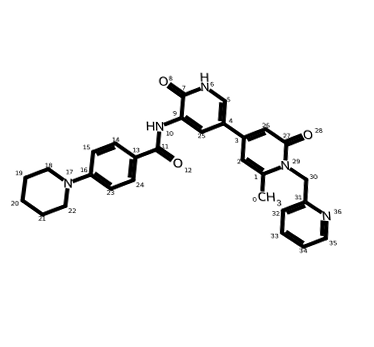 Cc1cc(-c2c[nH]c(=O)c(NC(=O)c3ccc(N4CCCCC4)cc3)c2)cc(=O)n1Cc1ccccn1